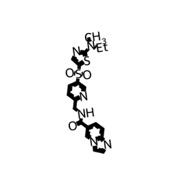 CCN(C)c1ncc(S(=O)(=O)c2ccc(CNC(=O)c3ccc4nccn4c3)nc2)s1